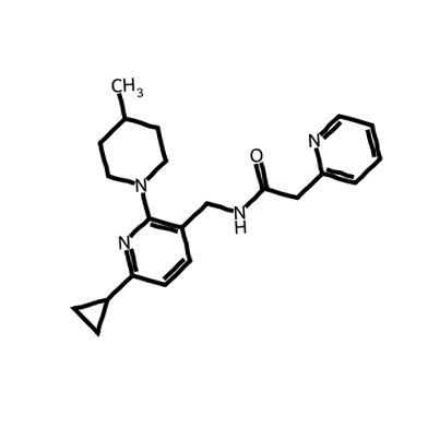 CC1CCN(c2nc(C3CC3)ccc2CNC(=O)Cc2ccccn2)CC1